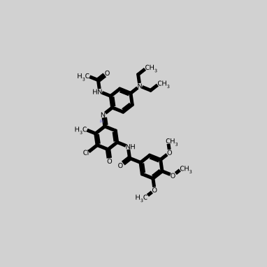 CCN(CC)c1ccc(/N=C2\C=C(NC(=O)c3cc(OC)c(OC)c(OC)c3)C(=O)C(Cl)=C2C)c(NC(C)=O)c1